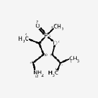 CC(C)COP(C)(=O)C(C)CCN